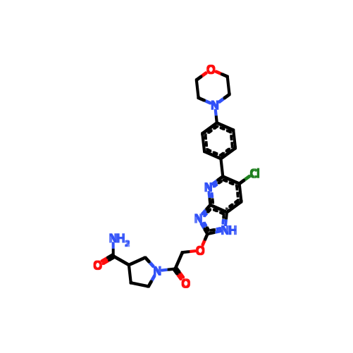 NC(=O)C1CCN(C(=O)COc2nc3nc(-c4ccc(N5CCOCC5)cc4)c(Cl)cc3[nH]2)C1